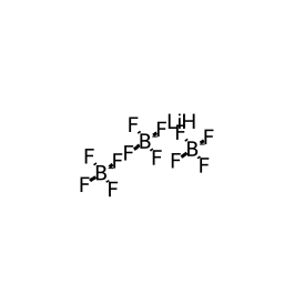 F[B-](F)(F)F.F[B-](F)(F)F.F[B-](F)(F)F.[LiH]